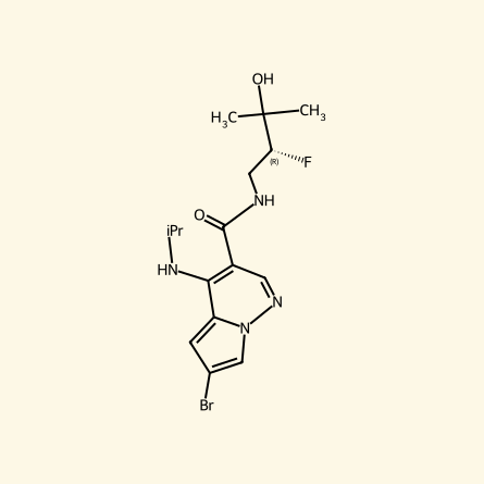 CC(C)Nc1c(C(=O)NC[C@@H](F)C(C)(C)O)cnn2cc(Br)cc12